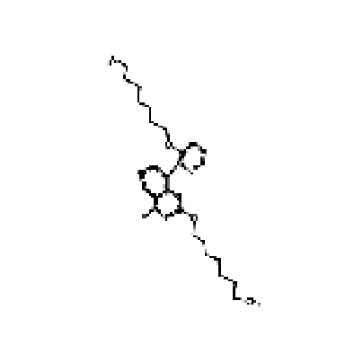 CCCCCCCCOc1cc2c(-c3ncccc3OCCCCCCCC)cccc2c(F)n1